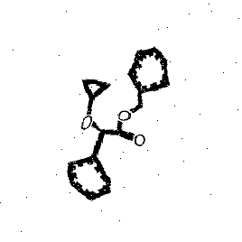 O=C(OCc1ccccc1)[C@H](OC1CC1)c1ccccc1